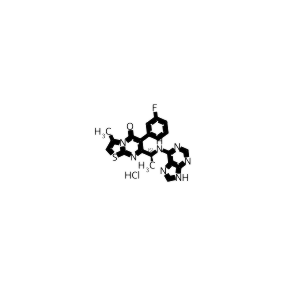 Cc1csc2nc([C@H](C)Nc3ncnc4[nH]cnc34)c(-c3cccc(F)c3)c(=O)n12.Cl